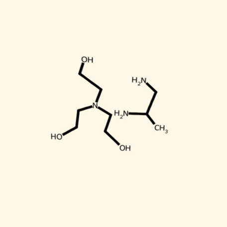 CC(N)CN.OCCN(CCO)CCO